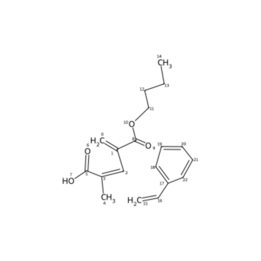 C=C(C=C(C)C(=O)O)C(=O)OCCCC.C=Cc1ccccc1